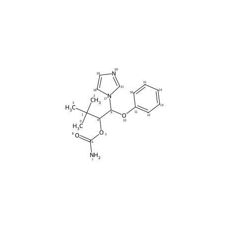 CC(C)(C)C(OC(N)=O)C(Oc1ccccc1)n1ccnc1